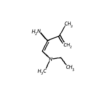 C=C(C)/C(N)=C\N(C)CC